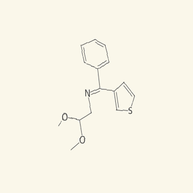 COC(C/N=C(/c1ccccc1)c1ccsc1)OC